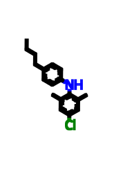 CCCCc1ccc(Nc2c(C)cc(Cl)cc2C)cc1